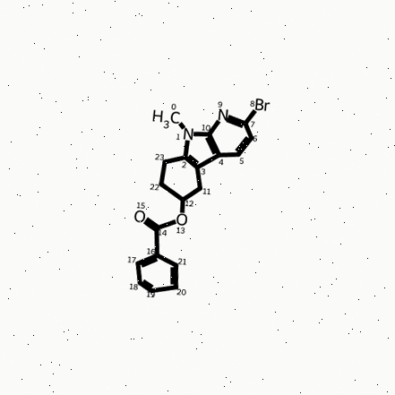 Cn1c2c(c3ccc(Br)nc31)CC(OC(=O)c1ccccc1)CC2